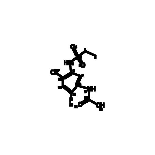 CCS(=O)(=O)Nc1cc(NC(=O)O)c(F)cc1Cl